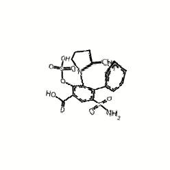 CC1CCCN1c1c(OS(=O)(=O)O)c(C(=O)O)cc(S(N)(=O)=O)c1-c1ccccc1